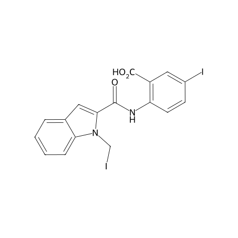 O=C(O)c1cc(I)ccc1NC(=O)c1cc2ccccc2n1CI